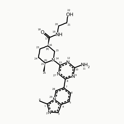 Cc1ncc2ccc(-c3nc(N)nc(N4C[C@H](C(=O)NCCO)CC[C@@H]4C)n3)cn12